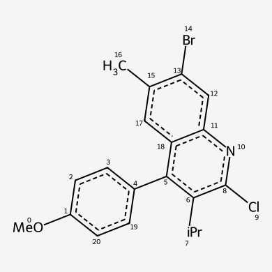 COc1ccc(-c2c(C(C)C)c(Cl)nc3cc(Br)c(C)cc23)cc1